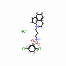 Cl.O=S(=O)(NCCCN1CCc2cccc3c2C1CC3)c1cc(Cl)ccc1Cl